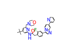 CC(C)(C)c1cc(CN2CCOCC2)nc(NC(=O)Cc2ccc(-c3cnc4cc(-c5ccccn5)ccn34)cc2F)c1